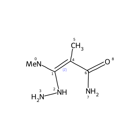 CN/C(NN)=C(\C)C(N)=O